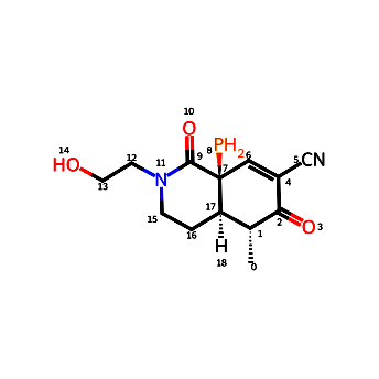 C[C@H]1C(=O)C(C#N)=C[C@@]2(P)C(=O)N(CCO)CC[C@H]12